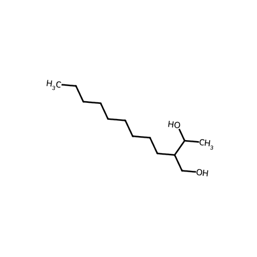 CCCCCCCCCC(CO)C(C)O